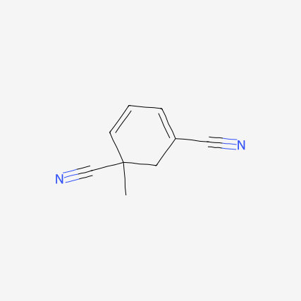 CC1(C#N)C=CC=C(C#N)C1